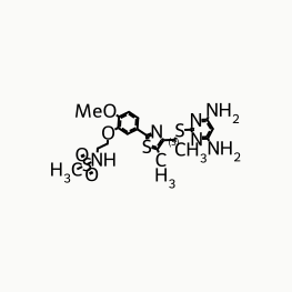 COc1ccc(-c2nc([C@H](C)Sc3nc(N)cc(N)n3)c(C)s2)cc1OCCNS(C)(=O)=O